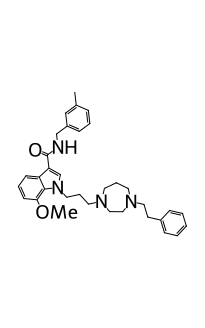 COc1cccc2c(C(=O)NCc3cccc(C)c3)cn(CCCN3CCCN(CCc4ccccc4)CC3)c12